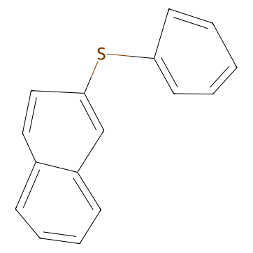 c1ccc(Sc2ccc3ccccc3c2)cc1